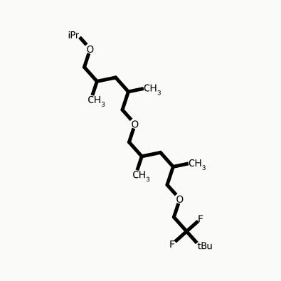 CC(COCC(C)CC(C)COC(C)C)CC(C)COCC(F)(F)C(C)(C)C